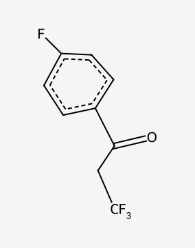 O=C(CC(F)(F)F)c1ccc(F)cc1